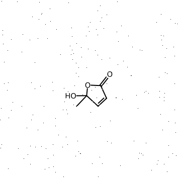 CC1(O)C=CC(=O)O1